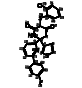 O=C1CC(c2ccsc2)(c2cccc(-c3ccc(F)cc3)n2)NC(=O)C1Sc1ccccc1Cl